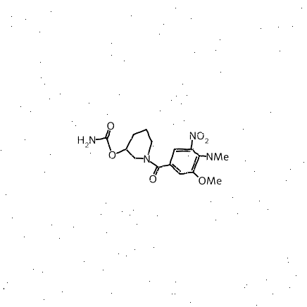 CNc1c(OC)cc(C(=O)N2CCCC(OC(N)=O)C2)cc1[N+](=O)[O-]